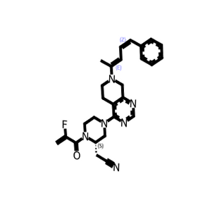 C=C(F)C(=O)N1CCN(c2ncnc3c2CCN(/C(C)=C/C=C\c2ccccc2)C3)C[C@@H]1CC#N